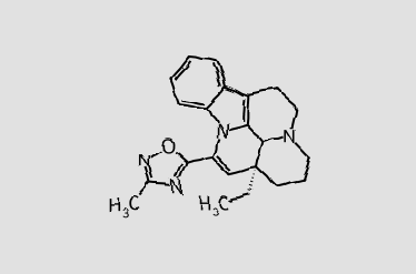 CC[C@@]12C=C(c3nc(C)no3)n3c4c(c5ccccc53)CCN(CCC1)C42